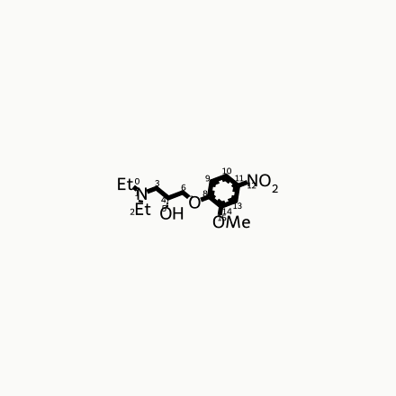 CCN(CC)C[C@@H](O)COc1ccc([N+](=O)[O-])cc1OC